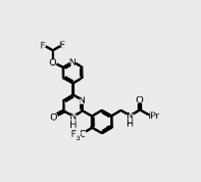 CC(C)C(=O)NCc1ccc(C(F)(F)F)c(-c2nc(-c3ccnc(OC(F)F)c3)cc(=O)[nH]2)c1